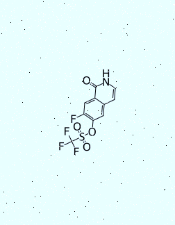 O=c1[nH]ccc2cc(OS(=O)(=O)C(F)(F)F)c(F)cc12